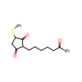 CC(C)SC1CC(=O)C(CCCCCC(=O)C(C)C)C1=O